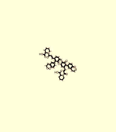 O=C(O)C1CCCCN1C(=O)/C=C/c1ccc(Sc2ccc(/C=C/C(=O)N3CCCCC3C(=O)O)c(-c3ccc4c(c3)CCOO4)c2Cl)c(Cl)c1-c1ccc2c(c1)CCOO2